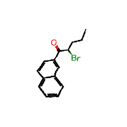 CCCC(Br)C(=O)c1ccc2ccccc2c1